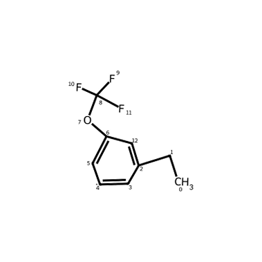 CCc1c[c]cc(OC(F)(F)F)c1